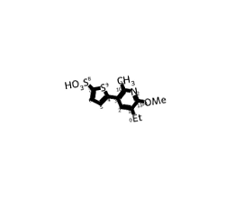 CCc1cc(-c2ccc(S(=O)(=O)O)s2)c(C)nc1OC